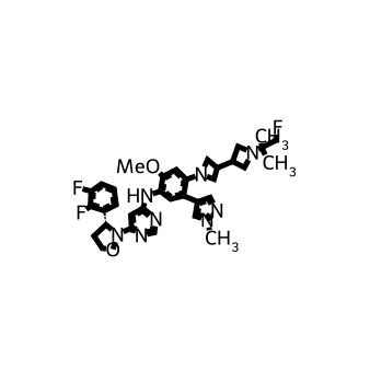 COc1cc(N2CC(C3CN(C(C)(C)CF)C3)C2)c(-c2cnn(C)c2)cc1Nc1cc(N2OCC[C@@H]2c2cccc(F)c2F)ncn1